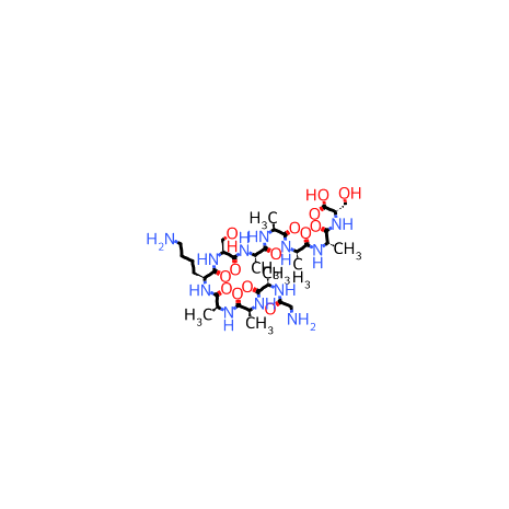 C[C@H](NC(=O)CN)C(=O)N[C@@H](C)C(=O)N[C@@H](C)C(=O)N[C@@H](CCCCN)C(=O)N[C@@H](CO)C(=O)N[C@@H](C)C(=O)N[C@@H](C)C(=O)N[C@@H](C)C(=O)N[C@@H](C)C(=O)N[C@@H](CO)C(=O)O